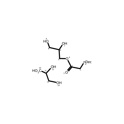 CCCCCCCCCCCC(=O)OCC(O)CO.O=C(O)C(O)CO